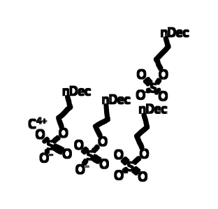 CCCCCCCCCCCCOS(=O)(=O)[O-].CCCCCCCCCCCCOS(=O)(=O)[O-].CCCCCCCCCCCCOS(=O)(=O)[O-].CCCCCCCCCCCCOS(=O)(=O)[O-].[C+4]